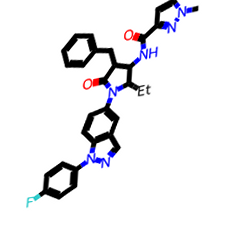 CCC1C(NC(=O)c2ccn(C)n2)C(Cc2ccccc2)C(=O)N1c1ccc2c(cnn2-c2ccc(F)cc2)c1